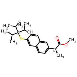 COC(=O)[C@@H](C)c1ccc2cc(S[Si](C(C)C)(C(C)C)C(C)C)ccc2c1